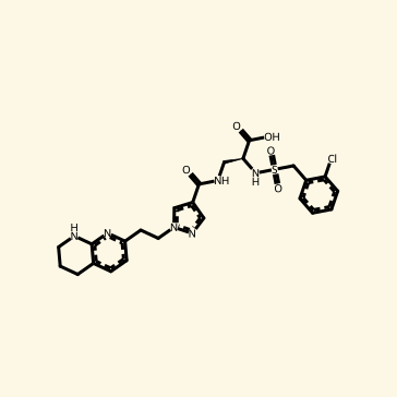 O=C(NC[C@H](NS(=O)(=O)Cc1ccccc1Cl)C(=O)O)c1cnn(CCc2ccc3c(n2)NCCC3)c1